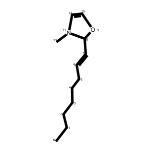 CCCCCCC=CC1OC=CN1C